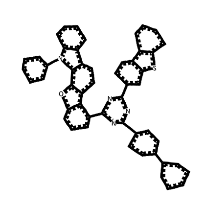 c1ccc(-c2ccc(-c3nc(-c4ccc5c(c4)sc4ccccc45)nc(-c4cccc5oc6c(ccc7c8ccccc8n(-c8ccccc8)c76)c45)n3)cc2)cc1